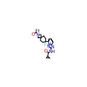 CCC(=O)N1CC2(CCC(F)(c3cccc4nc(NC(=O)C5CC5)nn34)CC2)C1